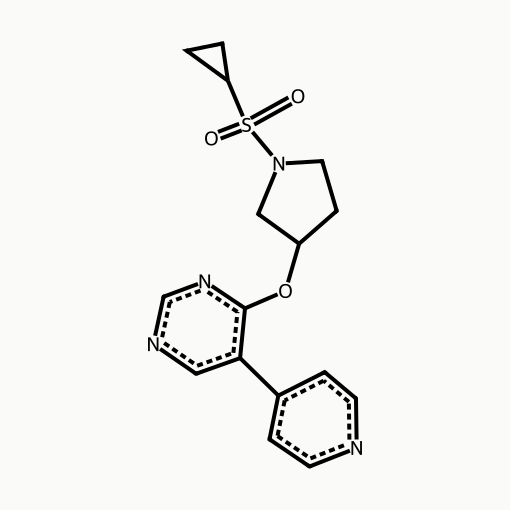 O=S(=O)(C1CC1)N1CCC(Oc2ncncc2-c2ccncc2)C1